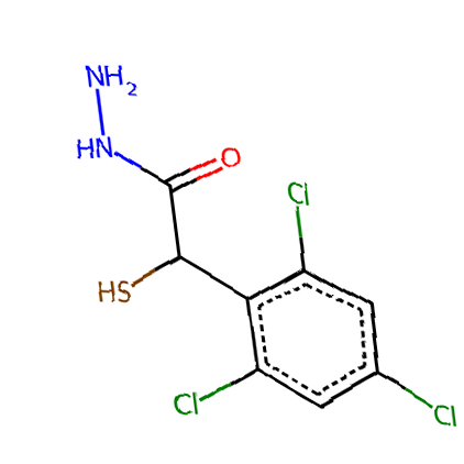 NNC(=O)C(S)c1c(Cl)cc(Cl)cc1Cl